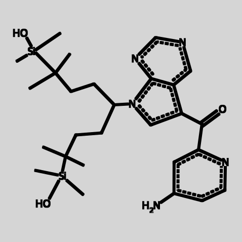 CC(C)(CCC(CCC(C)(C)[Si](C)(C)O)n1cc(C(=O)c2cc(N)ccn2)c2cncnc21)[Si](C)(C)O